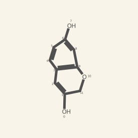 OC1=Cc2ccc(O)cc2OC1